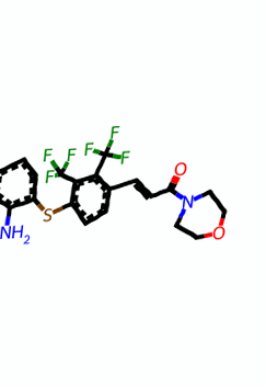 Nc1ccccc1Sc1ccc(C=CC(=O)N2CCOCC2)c(C(F)(F)F)c1C(F)(F)F